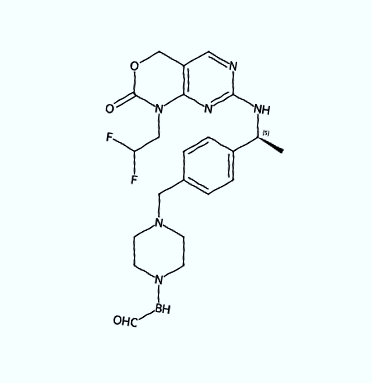 C[C@H](Nc1ncc2c(n1)N(CC(F)F)C(=O)OC2)c1ccc(CN2CCN(BC=O)CC2)cc1